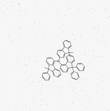 CC1(C)c2ccccc2-c2ccc(N(c3cccc4c3-c3ccccc3C4(C)c3ccccc3)c3cccc4c3-c3ccccc3C4(c3ccccc3)c3ccccc3)cc21